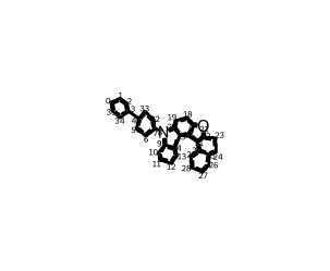 c1ccc(-c2ccc(-n3c4ccccc4c4c5c(ccc43)oc3ccc4ccccc4c35)cc2)cc1